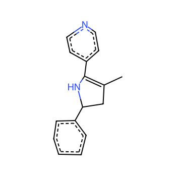 CC1=C(c2ccncc2)NC(c2ccccc2)C1